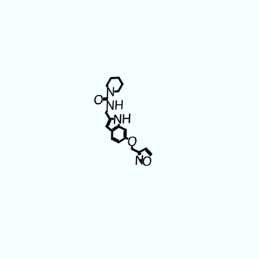 O=C(NCc1cc2ccc(OCc3ccon3)cc2[nH]1)N1CCCCC1